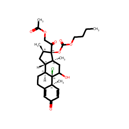 CCCCOC(=O)O[C@]1(C(=O)COC(C)=O)[C@H](C)C[C@H]2[C@@H]3CCC4=CC(=O)C=C[C@]4(C)[C@@]3(Cl)C(O)C[C@@]21C